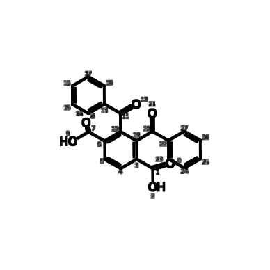 O=C(O)c1ccc(C(=O)O)c(C(=O)c2ccccc2)c1C(=O)c1ccccc1